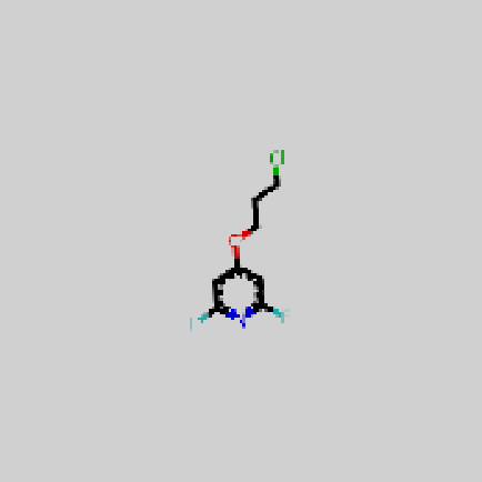 Fc1cc(OCCCCl)cc(F)n1